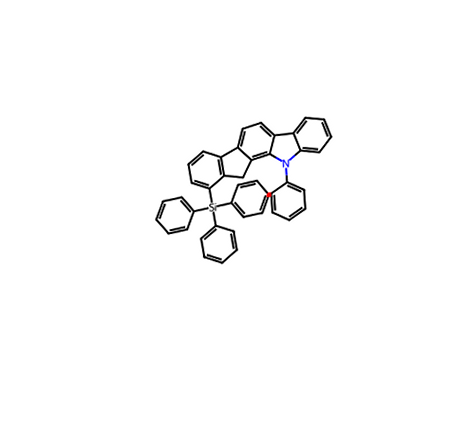 c1ccc(-n2c3ccccc3c3ccc4c(c32)Cc2c-4cccc2[Si](c2ccccc2)(c2ccccc2)c2ccccc2)cc1